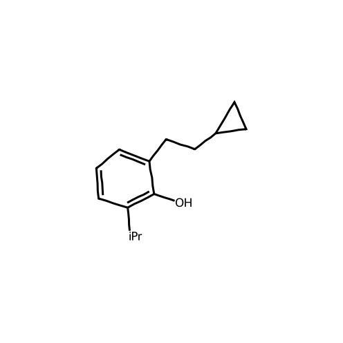 CC(C)c1cccc(CCC2CC2)c1O